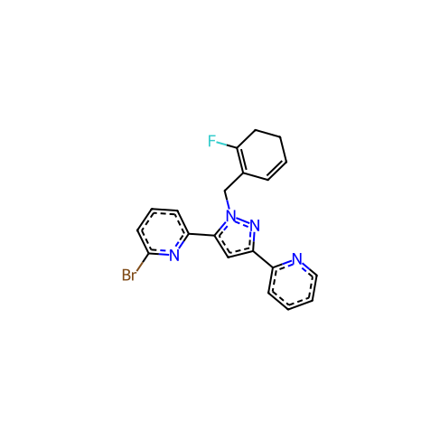 FC1=C(Cn2nc(-c3ccccn3)cc2-c2cccc(Br)n2)C=CCC1